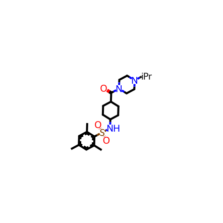 Cc1cc(C)c(S(=O)(=O)NC2CCC(C(=O)N3CCN(C(C)C)CC3)CC2)c(C)c1